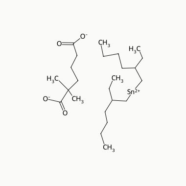 CC(C)(CCCC(=O)[O-])C(=O)[O-].CCCCC(CC)[CH2][Sn+2][CH2]C(CC)CCCC